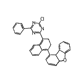 Clc1nc(C2=c3ccccc3=C(C3=CC=CC4Oc5ccccc5C34)CC2)nc(-c2ccccc2)n1